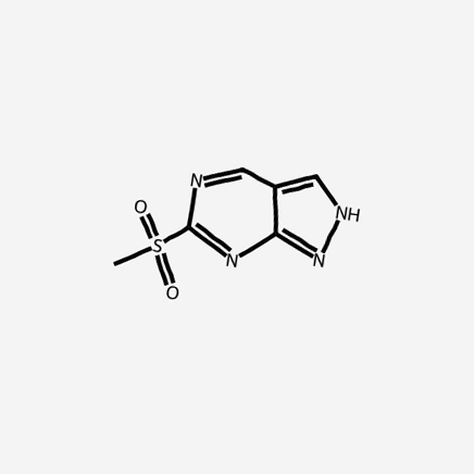 CS(=O)(=O)c1ncc2c[nH]nc2n1